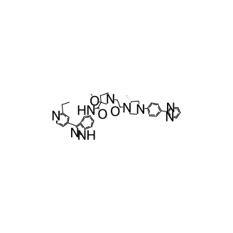 CCc1cc(-c2n[nH]c3ccc(NC(=O)[C@]4(OC)CCN(CC(=O)N5CCN(c6ccc(-c7ncccn7)cc6)C[C@H]5C)C4)cc23)ccn1